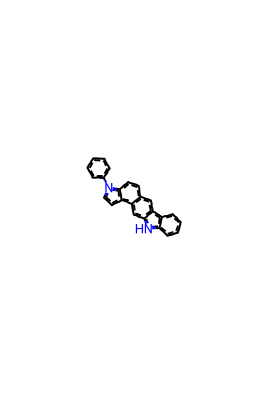 c1ccc(-n2ccc3c4cc5[nH]c6ccccc6c5cc4ccc32)cc1